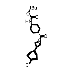 CC(C)(C)OC(=O)N[C@H]1CC[C@H](C(=O)N2CC(c3ccc(Cl)cc3)C2)CC1